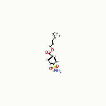 CCCCCOC(=O)c1ccc(S(N)(=O)=O)cc1